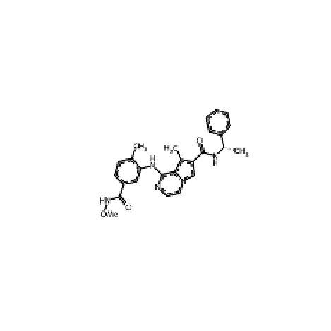 CONC(=O)c1ccc(C)c(Nc2nccn3cc(C(=O)N[C@@H](C)c4ccccc4)c(C)c23)c1